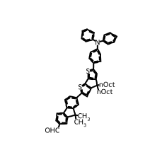 CCCCCCCCC1(CCCCCCCC)c2cc(-c3ccc(N(c4ccccc4)c4ccccc4)cc3)sc2-c2sc(-c3ccc4c(c3)C(C)(C)c3cc(C=O)ccc3-4)cc21